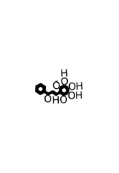 COc1c(O)c(O)c(O)c(O)c1/C=C/C(=O)c1ccccc1